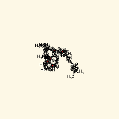 CCCCOc1c(C)ccc(C(=O)NCCCOc2ccc(CN[C@@](C)(C[C@H](O)O[C@H]3C(Oc4c5cc6cc4Oc4ccc(cc4Cl)[C@@H](O)[C@@H](NC(=O)C(CC(C)C)NC)C(=O)N[C@@H](CC(N)=O)C(=O)N[C@H]6C(=O)N[C@H]4C(=O)N[C@](C)(C(=O)N[C@@H](C(=O)O)c6cc(O)cc(O)c6-c6cc4ccc6I)C(O)c4ccc(c(Cl)c4)O5)OC(CO)[C@H](O)C3O)[C@@H](O)C(C)I)cc2)c1[N+](=O)[O-]